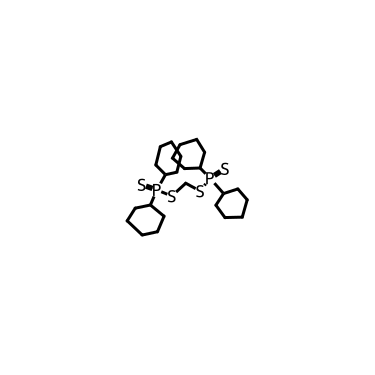 S=P(SCSP(=S)(C1CCCCC1)C1CCCCC1)(C1CCCCC1)C1CCCCC1